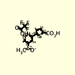 C[S+]([O-])c1cnnc(-c2ccc(C(=O)O)s2)c1.O=C(O)C(F)(F)F